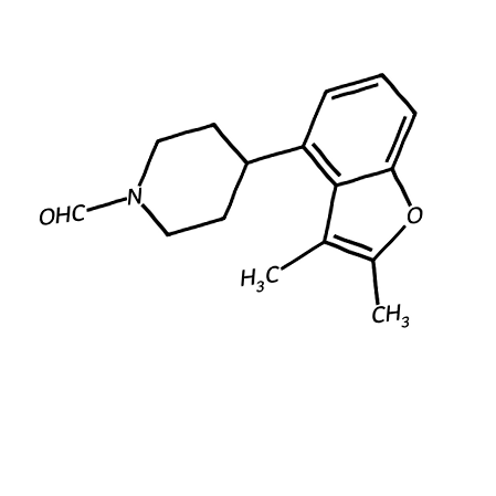 Cc1oc2cccc(C3CCN(C=O)CC3)c2c1C